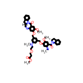 C=Nc1cc(OCc2cc(COc3cc4c(cc3OC)C(=O)N3c5ccccc5C[C@H]3C=N4)cc(N(C)CCOCCC(=O)OC)c2)c(OC)cc1C(=O)N1CCc2ccccc21